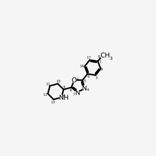 Cc1ccc(-c2nnc(C3CCCCN3)o2)cc1